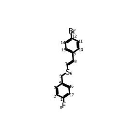 Fc1ccc(CSC=Cc2ccc(Br)cc2)cc1